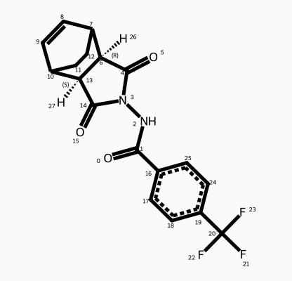 O=C(NN1C(=O)[C@@H]2C3C=CC(CC3)[C@@H]2C1=O)c1ccc(C(F)(F)F)cc1